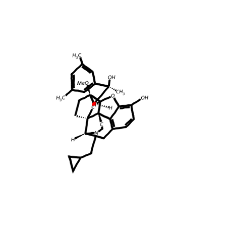 CO[C@]12CC[C@@]3(C[C@@H]1[C@](C)(O)c1cc(C)cc(C)c1)[C@H]1Cc4ccc(O)c5c4[C@@]3(CCN1CC1CC1)[C@H]2O5